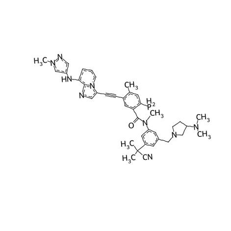 Cc1cc(P)c(C(=O)N(C)c2cc(CN3CCC(N(C)C)C3)cc(C(C)(C)C#N)c2)cc1C#Cc1cnc2c(Nc3cnn(C)c3)cccn12